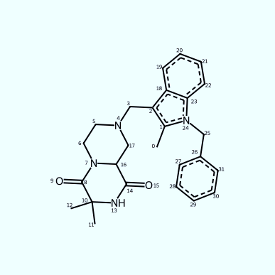 Cc1c(CN2CCN3C(=O)C(C)(C)NC(=O)C3C2)c2ccccc2n1Cc1ccccc1